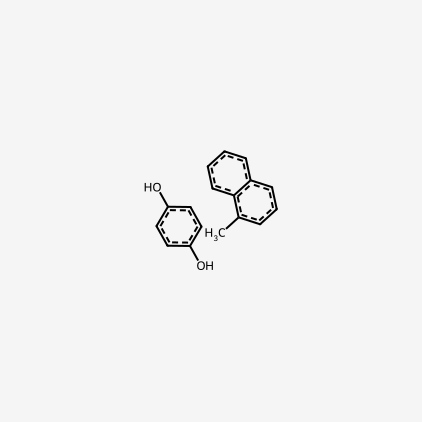 Cc1cccc2ccccc12.Oc1ccc(O)cc1